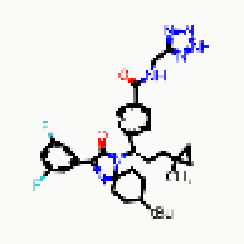 CC1(CC[C@H](c2ccc(C(=O)NCc3nn[nH]n3)cc2)N2C(=O)C(c3cc(F)cc(F)c3)=NC23CCC(C(C)(C)C)CC3)CC1